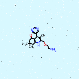 CC1(C)CC(=O)C2=C(C1)NC(COCCN)=C(C#N)C2c1cncnc1